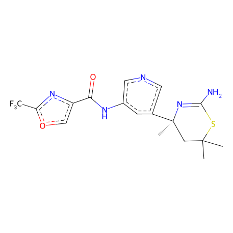 CC1(C)C[C@@](C)(c2cncc(NC(=O)c3coc(C(F)(F)F)n3)c2)N=C(N)S1